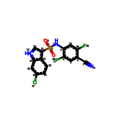 N#Cc1cc(F)c(NS(=O)(=O)c2c[nH]c3cc(Cl)ccc23)cc1F